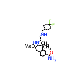 CO[C@H]1Cc2ccc(C(N)=O)cc2C(C)(C)[C@@H]1NCCNCC1CCC(F)(F)CC1